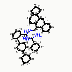 NC(NC(NCc1c2ccccc2cc2c1ccc1ccccc12)c1ccccc1-c1ccc(-c2ccccc2)cc1)c1ccccc1